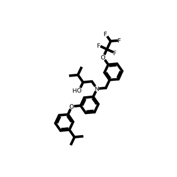 CC(C)c1cccc(Oc2cccc(N(Cc3cccc(OC(F)(F)C(F)F)c3)CC(O)C(C)C)c2)c1